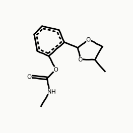 CNC(=O)Oc1ccccc1C1OCC(C)O1